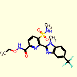 CCONC(=O)c1ccc(S(=O)(=O)NC)c(-c2nc3cc(C(F)(F)F)ccc3n2C)n1